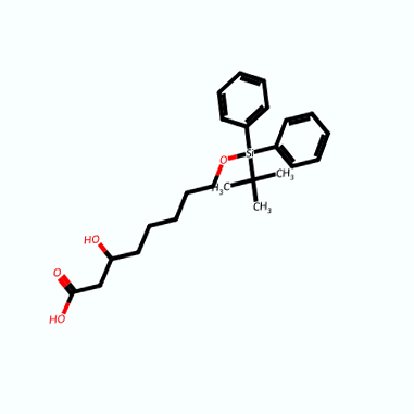 CC(C)(C)[Si](OCCCCCC(O)CC(=O)O)(c1ccccc1)c1ccccc1